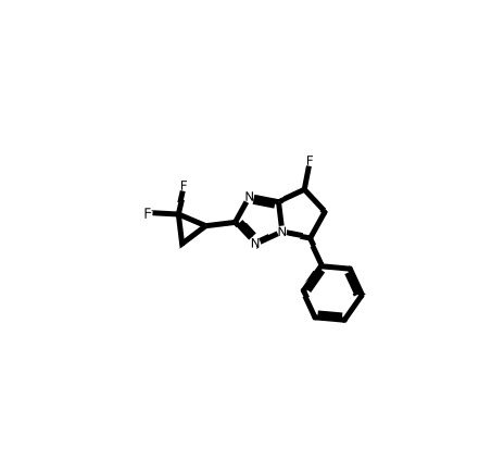 FC1CC(c2ccccc2)n2nc(C3CC3(F)F)nc21